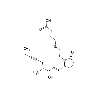 CCC#CCC(C)C(O)/C=C/[C@H]1CCC(=O)N1CCSCCCC(=O)O